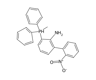 C[PH](c1ccccc1)(c1ccccc1)c1cccc(-c2ccccc2[N+](=O)[O-])c1N